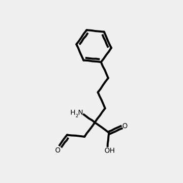 NC(CC=O)(CCCc1ccccc1)C(=O)O